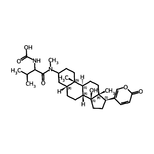 CC(C)C(NC(=O)O)C(=O)N(C)C1CC[C@@]2(C)[C@H](CC[C@@H]3[C@@H]2CC[C@]2(C)[C@@H](c4ccc(=O)oc4)CC[C@]32O)C1